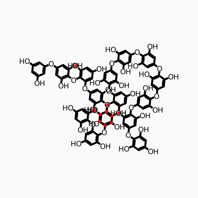 Oc1cc(O)cc(Oc2cc(O)c(Oc3c(O)cc(O)cc3Oc3cc(O)c(Oc4cc(O)cc(O)c4Oc4cc(O)cc(O)c4Oc4cc(O)cc(O)c4Oc4cc(O)c(Oc5c(O)cc(O)cc5Oc5c(O)cc(Oc6c(O)cc(Oc7c(O)cc(Oc8c(O)cc(Oc9c(O)cc(Oc%10c(O)cc(Oc%11c(O)cc(O)cc%11O)cc%10O)cc9O)cc8O)cc7O)cc6O)cc5O)c(O)c4)c(O)c3)c(O)c2)c1